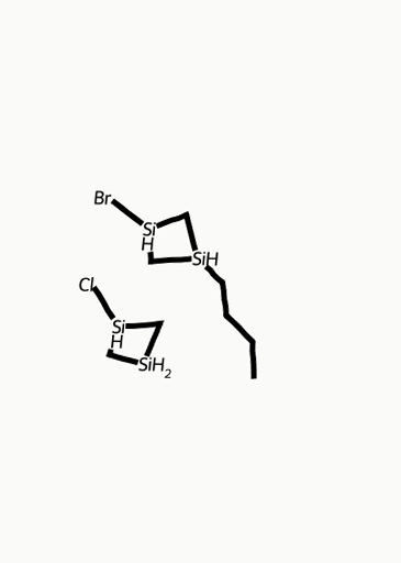 CCCC[SiH]1C[SiH](Br)C1.Cl[SiH]1C[SiH2]C1